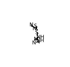 CC(C)NC(=NC#N)NCCSCc1csc(CN(C)C)n1